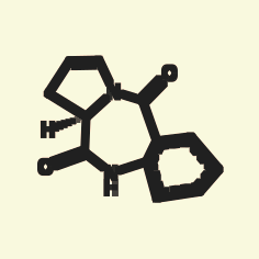 O=C1Nc2ccccc2C(=O)N2C=CC[C@H]12